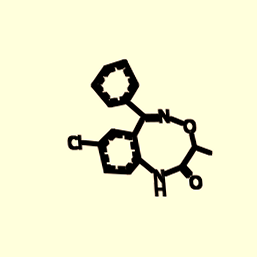 CC1ON=C(c2ccccc2)c2cc(Cl)ccc2NC1=O